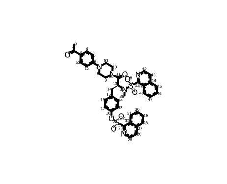 CC(=O)c1ccc(N2CCN(C(=O)[C@H](Cc3ccc(OS(=O)(=O)c4nccc5ccccc45)cc3)N(C)S(=O)(=O)c3nccc4ccccc34)CC2)cc1